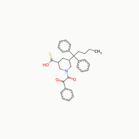 CCCCC(c1ccccc1)(c1ccccc1)C1CC(C(O)=S)CN(C(=O)C(=O)c2ccccc2)C1